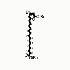 CCC(CCCCCCCCCCCCCCCCC(=O)OCC(C)C)CC(=O)OCC(C)C